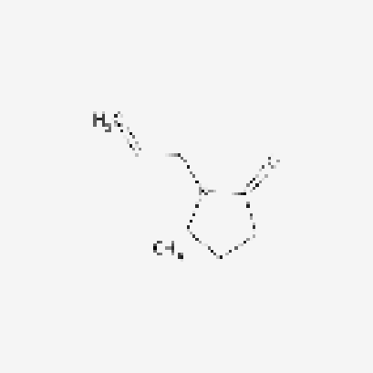 C.C=CCN1CCCC1=O